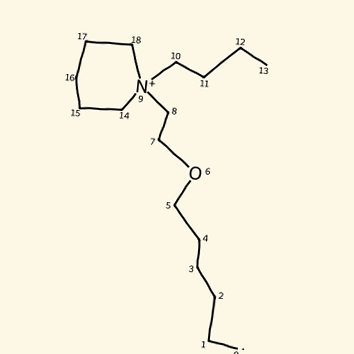 [CH2]CCCCCOCC[N+]1(CCCC)CCCCC1